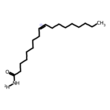 [2H]NC(=O)CCCCCCC/C=C\CCCCCCCC